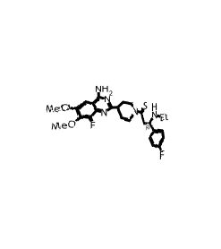 CCN[C@H](CC(=S)N1CCC(c2nc(N)c3cc(OC)c(OC)c(F)c3n2)CC1)c1ccc(F)cc1